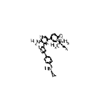 CC(C)(C#N)n1cc(-c2cnc(N)c(-c3cc(-c4ccc(CNC5CC5)cc4)no3)n2)ccc1=O